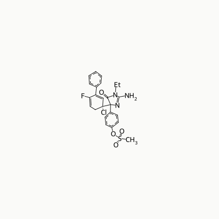 CCN1C(=O)C(c2ccc(OS(C)(=O)=O)cc2)([C@]2(Cl)C=C(c3ccccc3)C(F)=CC2)N=C1N